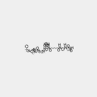 Cc1cc(N2CC[C@](C)(c3ccccc3)C2)cn2nc(C(=O)N3CC[C@@]4(CCN(c5ccc(NC(=O)CCCCCC(=O)Nc6cccc(NC7CCC(=O)NC7=O)c6)c(C(=O)OC(C)(C)C)n5)C4)C3)nc12